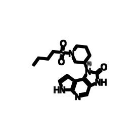 CCCCS(=O)(=O)N1CCC[C@@H](n2c(=O)[nH]c3cnc4[nH]ccc4c32)C1